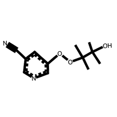 CC(C)(O)C(C)(C)OOc1cncc(C#N)c1